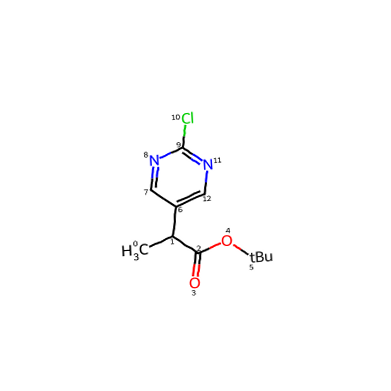 CC(C(=O)OC(C)(C)C)c1cnc(Cl)nc1